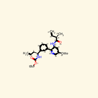 C=CC[C@H](NC(=O)OC(C)(C)C)c1cccc(-c2ncc(OC)cc2NC(=O)[C@H](C)C=C)c1